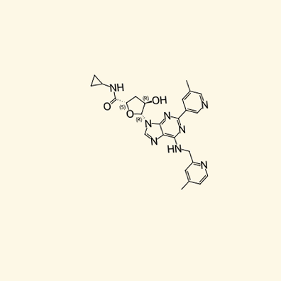 Cc1cncc(-c2nc(NCc3cc(C)ccn3)c3ncn([C@@H]4O[C@H](C(=O)NC5CC5)C[C@H]4O)c3n2)c1